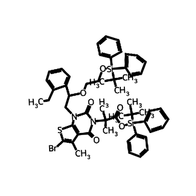 CCc1ccccc1C(Cn1c(=O)n(C(C)(C)C(=O)O[Si](c2ccccc2)(c2ccccc2)C(C)(C)C)c(=O)c2c(C)c(Br)sc21)OCCO[Si](c1ccccc1)(c1ccccc1)C(C)(C)C